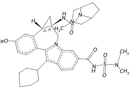 COc1ccc2c(c1)[C@@H]1C[C@]1(NC(=O)N1C3CCC1CN(C)C3)Cn1c-2c(C2CCCCC2)c2ccc(C(=O)NS(=O)(=O)N(C)C)cc21